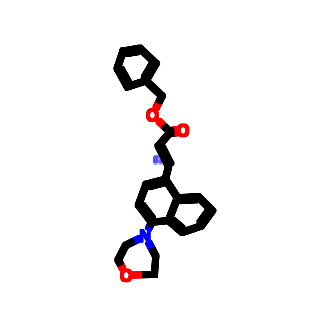 O=C(/C=C/c1ccc(N2CCOCC2)c2ccccc12)OCc1ccccc1